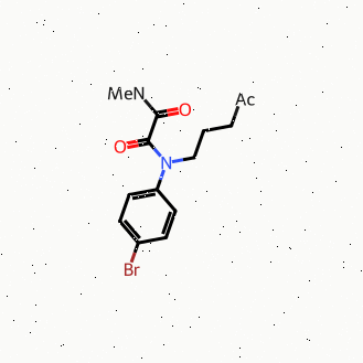 CNC(=O)C(=O)N(CCCC(C)=O)c1ccc(Br)cc1